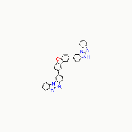 Cn1c2ccc(-c3ccc4oc5ccc(-c6ccc7[nH]c8nc9ccccc9n8c7c6)cc5c4c3)cc2n2c3ccccc3nc12